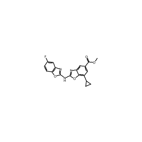 COC(=O)c1cc(C2CC2)c2oc(Nc3nc4cc(F)ccc4o3)nc2c1